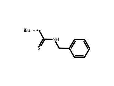 CC[C@@H](C)[CH]C(=S)NCc1ccccc1